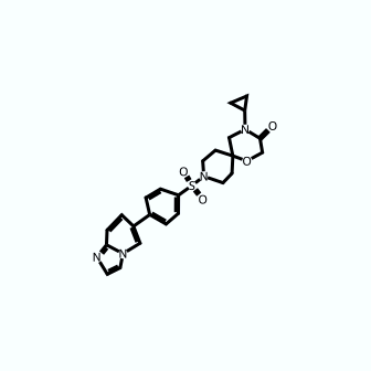 O=C1COC2(CCN(S(=O)(=O)c3ccc(-c4ccc5nccn5c4)cc3)CC2)CN1C1CC1